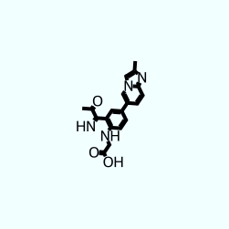 CC(=O)C(=N)c1cc(-c2ccc3nc(C)cn3c2)ccc1NCC(=O)O